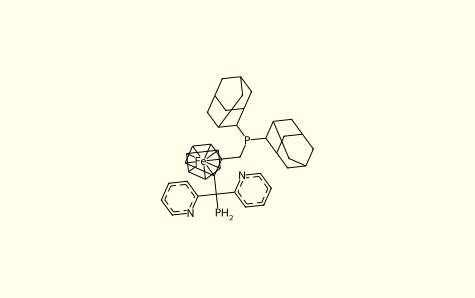 PC(c1ccccn1)(c1ccccn1)[C]12[CH]3[CH]4[CH]5[C]1(CP(C1C6CC7CC(C6)CC1C7)C1C6CC7CC(C6)CC1C7)[Fe]45321678[CH]2[CH]1[CH]6[CH]7[CH]28